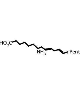 CCCCC/C=C/C/C=C/CCCCCCCC(=O)O.N